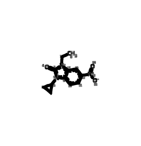 CCn1c(=O)n(C2CC2)c2ccc([N+](=O)[O-])cc21